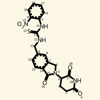 O=C1CCC(N2Cc3cc(CNC(=S)Nc4ccccc4[N+](=O)[O-])ccc3C2=O)C(=O)N1